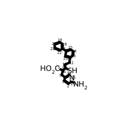 Nc1ccc(CC(C(=O)O)C(S)CCc2cccc(-c3ccccc3)c2)cn1